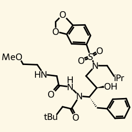 COCCNCC(=O)NN(C(=O)CC(C)(C)C)[C@@H](Cc1ccccc1)[C@H](O)CN(CC(C)C)S(=O)(=O)c1ccc2c(c1)OCO2